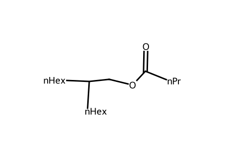 CCCCCCC(CCCCCC)COC(=O)CCC